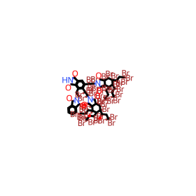 O=C1NC(=O)c2c1cc(C(Br)(Br)C(Br)(Br)N1C(=O)C3(Br)C(Br)C(Br)(C(Br)CC(Br)(Br)Br)C(Br)(C(Br)CC(Br)(Br)Br)C(Br)(C(Br)CC(Br)(Br)Br)C3(Br)C1=O)c(C(Br)(Br)C(Br)(Br)N1C(=O)C3(Br)C(Br)C(Br)(C(Br)CC(Br)(Br)Br)C(Br)(C(Br)CC(Br)(Br)Br)C(Br)(C(Br)CC(Br)(Br)Br)C3(Br)C1=O)c2CCN1C(=O)c2ccccc2C1=O